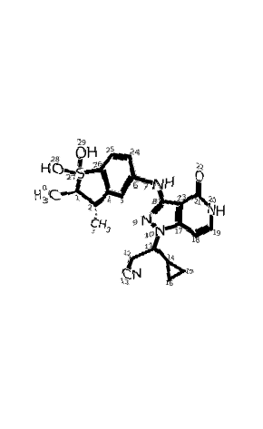 C[C@@H]1[C@@H](C)c2cc(Nc3nn(C(CC#N)C4CC4)c4cc[nH]c(=O)c34)ccc2S1(O)O